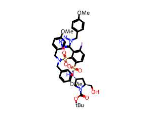 COc1ccc(CN(Cc2ccc(OC)cc2)S(=O)(=O)c2c(S(=O)(=O)N[C@@H]3C[C@@H](CO)N(C(=O)OC(C)(C)C)C3)ccc(I)c2-c2nnnn2Cc2ccc(OC)cc2)cc1